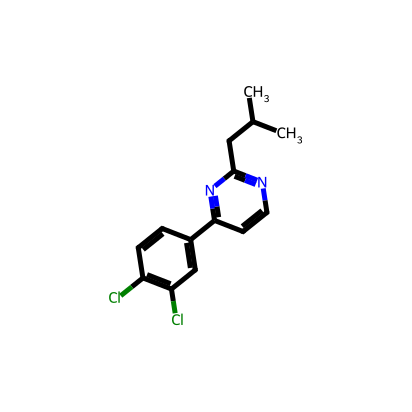 CC(C)Cc1nccc(-c2ccc(Cl)c(Cl)c2)n1